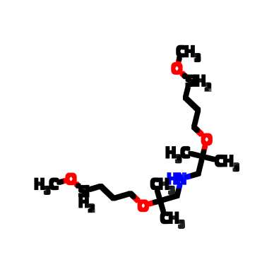 CO[SiH2]CCCOC(C)(C)CNCC(C)(C)OCCC[SiH2]OC